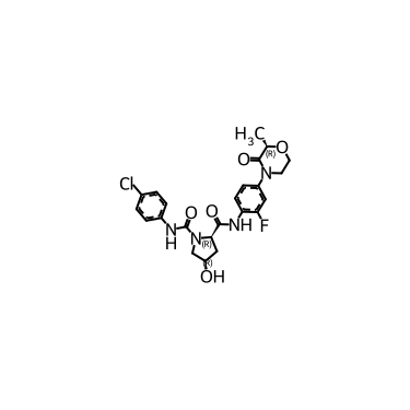 C[C@H]1OCCN(c2ccc(NC(=O)[C@H]3C[C@@H](O)CN3C(=O)Nc3ccc(Cl)cc3)c(F)c2)C1=O